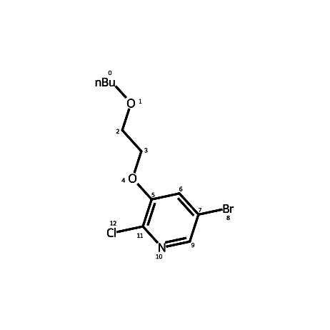 CCCCOCCOc1cc(Br)cnc1Cl